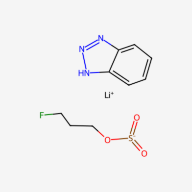 O=[S-](=O)OCCCF.[Li+].c1ccc2[nH]nnc2c1